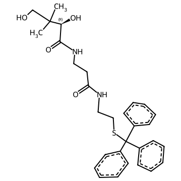 CC(C)(CO)[C@@H](O)C(=O)NCCC(=O)NCCSC(c1ccccc1)(c1ccccc1)c1ccccc1